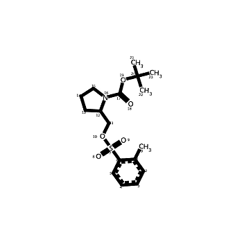 Cc1ccccc1S(=O)(=O)OCC1CCCN1C(=O)OC(C)(C)C